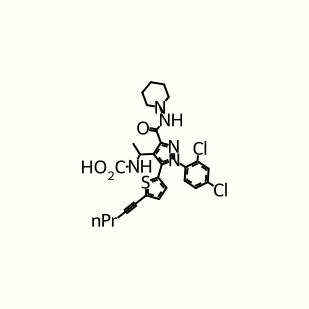 CCCC#Cc1ccc(-c2c(C(C)NC(=O)O)c(C(=O)NN3CCCCC3)nn2-c2ccc(Cl)cc2Cl)s1